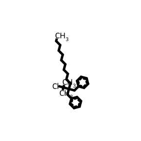 CCCCCCCCCCCC(Cc1ccccc1)(Cc1ccccc1)C(C)(C)Cl